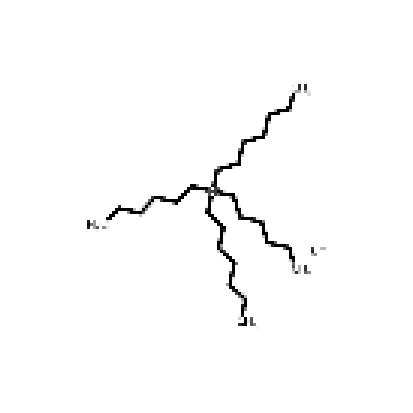 CCCCCCC[N+](CCCCCC)(CCCCCC)CCCCCCC.[Cl-]